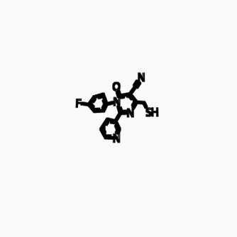 N#Cc1c(CS)nc(-c2cccnc2)n(-c2ccc(F)cc2)c1=O